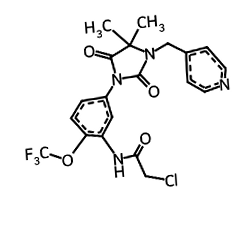 CC1(C)C(=O)N(c2ccc(OC(F)(F)F)c(NC(=O)CCl)c2)C(=O)N1Cc1ccncc1